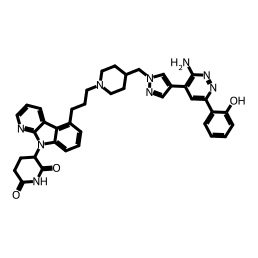 Nc1nnc(-c2ccccc2O)cc1-c1cnn(CC2CCN(CCCc3cccc4c3c3cccnc3n4C3CCC(=O)NC3=O)CC2)c1